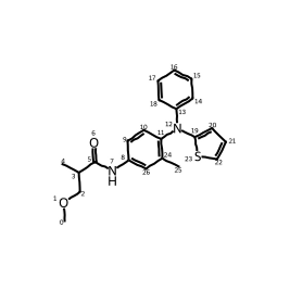 COCC(C)C(=O)Nc1ccc(N(c2ccccc2)c2cccs2)c(C)c1